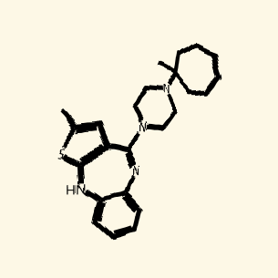 Cc1cc2c(s1)Nc1ccccc1N=C2N1CCN(C2(C)CCCCCC2)CC1